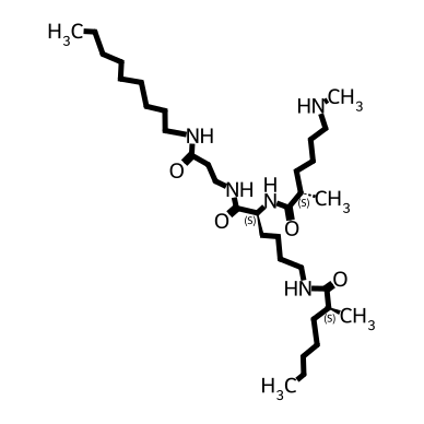 CCCCCCCCCNC(=O)CCNC(=O)[C@H](CCCCNC(=O)[C@@H](C)CCCCC)NC(=O)[C@@H](C)CCCCNC